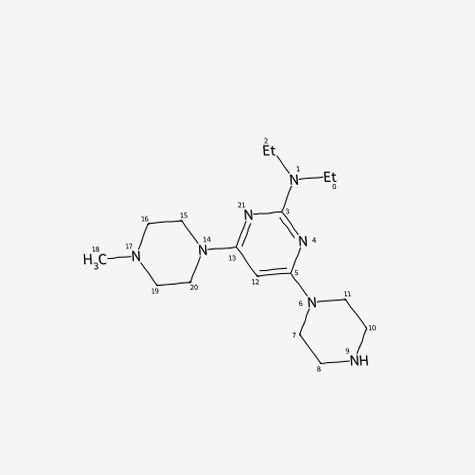 CCN(CC)c1nc(N2CCNCC2)cc(N2CCN(C)CC2)n1